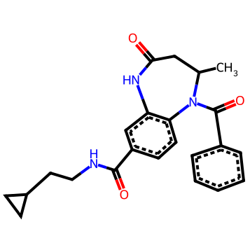 CC1CC(=O)Nc2cc(C(=O)NCCC3CC3)ccc2N1C(=O)c1ccccc1